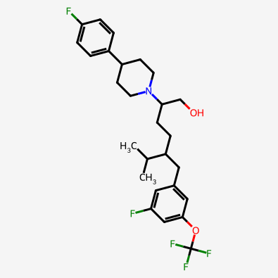 CC(C)C(CCC(CO)N1CCC(c2ccc(F)cc2)CC1)Cc1cc(F)cc(OC(F)(F)F)c1